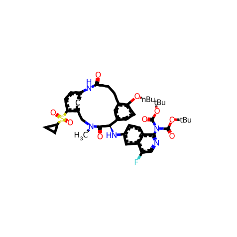 CCCCOc1ccc2cc1CCC(=O)Nc1ccc(S(=O)(=O)C3CC3)c(c1)CN(C)C(=O)[C@@H]2Nc1ccc2c(N(C(=O)OC(C)(C)C)C(=O)OC(C)(C)C)ncc(F)c2c1